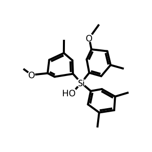 COc1cc(C)cc([Si](O)(c2cc(C)cc(C)c2)c2cc(C)cc(OC)c2)c1